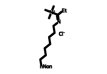 CCCCCCCCCCCCCCCCN=C(CC)[N+](C)(C)C.[Cl-]